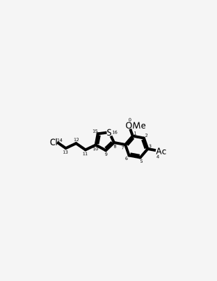 COc1cc(C(C)=O)ccc1-c1cc(CCCCl)cs1